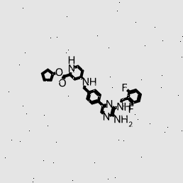 Nc1ncc(-c2ccc(CNC3CCNC(C(=O)OC4CCCC4)C3)cc2)nc1NCc1c(F)cccc1F